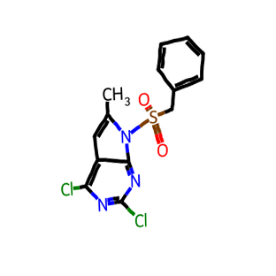 Cc1cc2c(Cl)nc(Cl)nc2n1S(=O)(=O)Cc1ccccc1